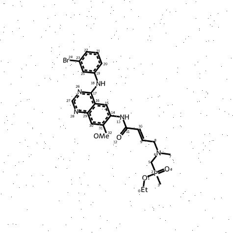 CCOP(C)(=O)CN(C)CC=CC(=O)Nc1cc2c(Nc3cccc(Br)c3)ncnc2cc1OC